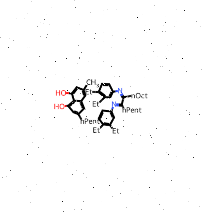 CCCCCCCCC(=Nc1ccc(CC)c(CC)c1)C(CCCCC)=Nc1ccc(CC)c(CC)c1.CCCCCc1cc(O)c2c(O)cc(C)cc2c1